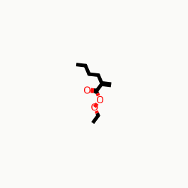 C=C(CCCC)C(=O)OOCC